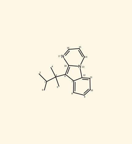 CC(C)C(C)(C)c1c2ccccc2n2cccnc12